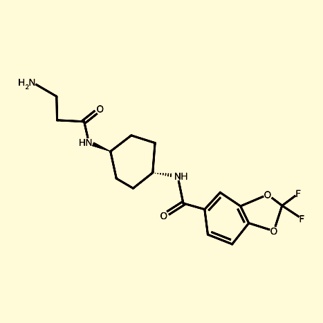 NCCC(=O)N[C@H]1CC[C@H](NC(=O)c2ccc3c(c2)OC(F)(F)O3)CC1